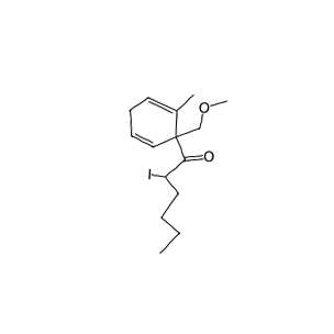 CCCCC(I)C(=O)C1(COC)C=CCC=C1C